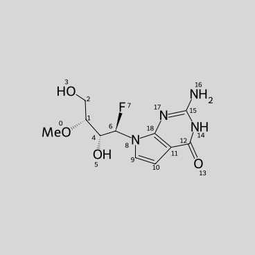 CO[C@H](CO)[C@@H](O)[C@@H](F)n1ccc2c(=O)[nH]c(N)nc21